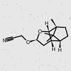 CC1(C)[C@@H]2CC[C@@]1(C)[C@H]1O[C@H](OCC#N)C[C@@H]21